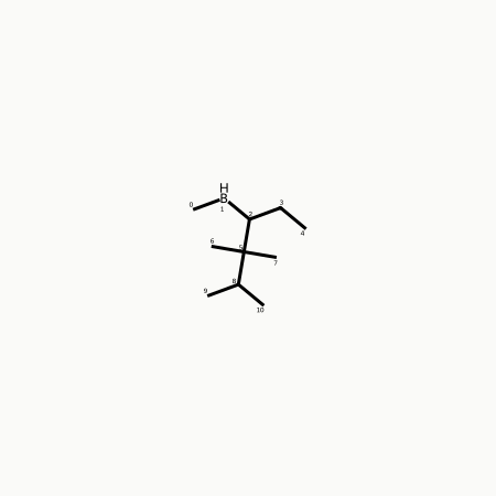 CBC(CC)C(C)(C)C(C)C